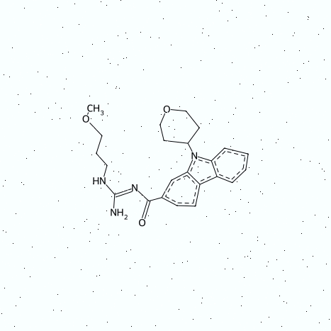 COCCCN/C(N)=N/C(=O)c1ccc2c3ccccc3n(C3CCOCC3)c2c1